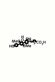 COc1cc(-c2ccc(O)cc2)c(OC)c(O)c1-c1ccc(OCc2ccc(C(=O)O)s2)c(O)c1